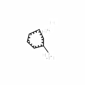 Cl.Cl.Cl.Cl.Nc1ccccc1